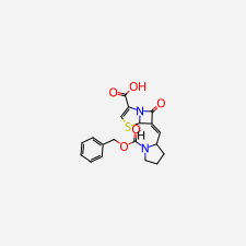 O=C(O)C1=CS[C@@H]2C(=CC3CCCN3C(=O)OCc3ccccc3)C(=O)N12